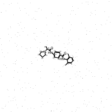 Cc1cccc(C)c1NC(=O)c1ccc(NC(=O)C(C)N2CCCC2)cc1